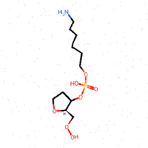 NCCCCCCOP(=O)(O)OC1CCO[C@@H]1COO